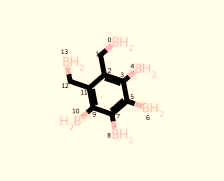 BCc1c(B)c(B)c(B)c(B)c1CB